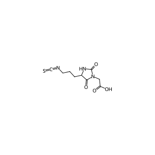 O=C(O)CN1C(=O)NC(CCCN=C=S)C1=O